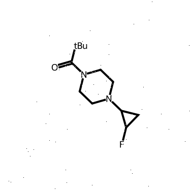 CC(C)(C)C(=O)N1CCN(C2CC2F)CC1